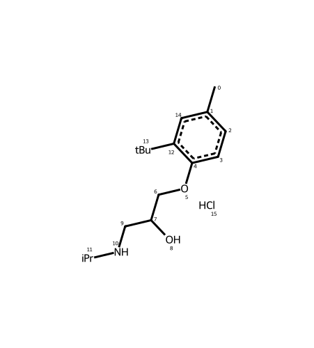 Cc1ccc(OCC(O)CNC(C)C)c(C(C)(C)C)c1.Cl